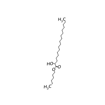 CCCCCCCCCCCCCCCCC(O)C(=O)OCCCCCC